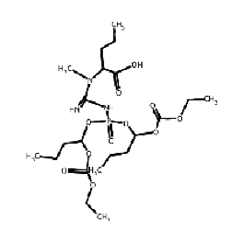 CCCC(OC(=O)OCC)OP(=O)(NC(=N)N(C)C(CCC)C(=O)O)OC(CCC)OC(=O)OCC